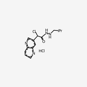 CC(C)CNNC(=O)C(Cl)c1cnc2cccnc2c1.Cl